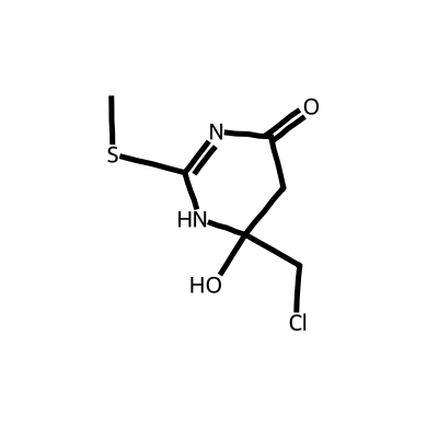 CSC1=NC(=O)CC(O)(CCl)N1